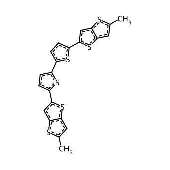 Cc1cc2sc(-c3ccc(-c4ccc(-c5cc6sc(C)cc6s5)s4)s3)cc2s1